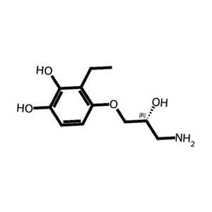 CCc1c(OC[C@H](O)CN)ccc(O)c1O